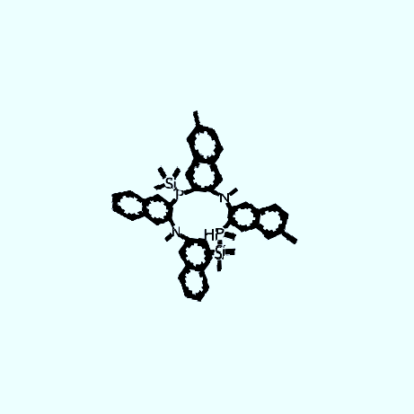 Cc1ccc2cc3c(cc2c1)P([Si](C)(C)C)c1cc2ccccc2cc1N(C)c1cc2ccccc2cc1[PH](C)([Si](C)(C)C)c1cc2cc(C)ccc2cc1N3C